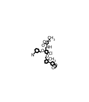 CSCCC(NCc1cc(Cl)c(OCc2cccc(-c3ccc4c(c3)OCCO4)c2C)cc1OCc1cccc(C#N)c1)C(=O)O